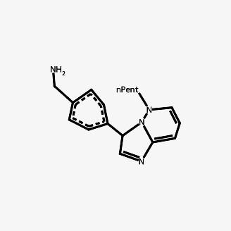 CCCCCN1C=CC=C2N=CC(c3ccc(CN)cc3)N21